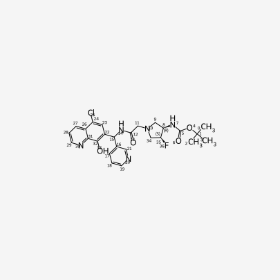 CC(C)(C)OC(=O)N[C@@H]1CN(CC(=O)NC(c2cccnc2)c2cc(Cl)c3cccnc3c2O)C[C@@H]1F